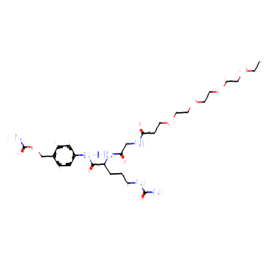 CCOCCOCCOCCOCCC(=O)NCC(=O)NC(CCCNC(N)=O)C(=O)Nc1ccc(COC(N)=O)cc1